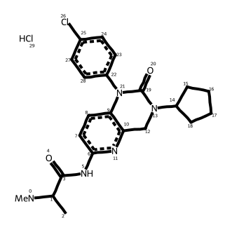 CNC(C)C(=O)Nc1ccc2c(n1)CN(C1CCCC1)C(=O)N2c1ccc(Cl)cc1.Cl